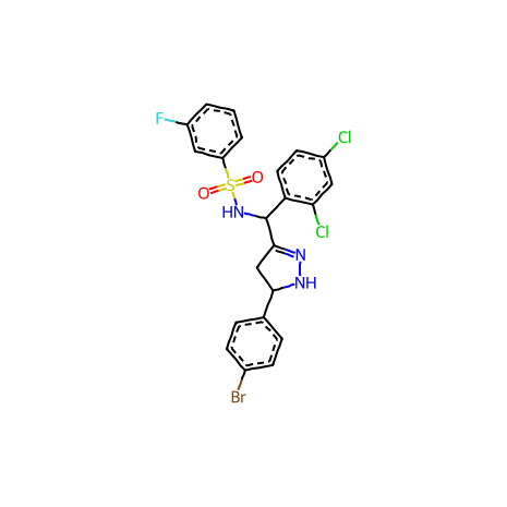 O=S(=O)(NC(C1=NNC(c2ccc(Br)cc2)C1)c1ccc(Cl)cc1Cl)c1cccc(F)c1